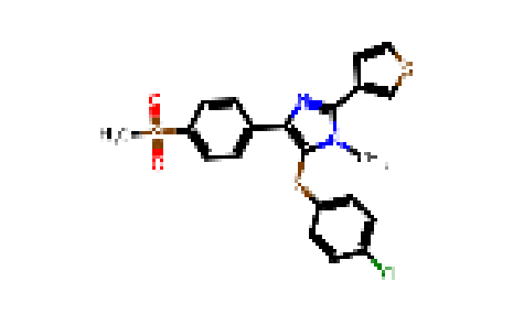 Cn1c(-c2ccsc2)nc(-c2ccc(S(C)(=O)=O)cc2)c1Sc1ccc(Cl)cc1